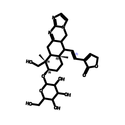 C[C@]12CC[C@@H](OC3OC(CO)C(O)C(O)C3O)[C@@](C)(CO)C1CC1=Nc3nccn3CC1C2/C=C/C1=CCOC1=O